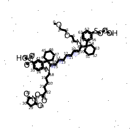 COCCOCC[N+]1=C(/C=C/C=C/C=C/C=C2/N(CCCCCC(=O)ON3C(=O)CCC3=O)c3ccc(S(=O)(=O)O)cc3C23CCCCC3)C2(CCCCC2)c2cc(SOOO)ccc21